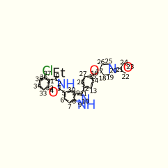 CC[C@@H](NC(=O)c1ccc2[nH]nc(-c3ccc(OC4CCN(C5COC5)CC4)cc3)c2c1)c1ccccc1Cl